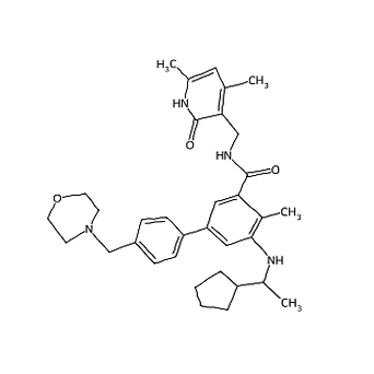 Cc1cc(C)c(CNC(=O)c2cc(-c3ccc(CN4CCOCC4)cc3)cc(NC(C)C3CCCC3)c2C)c(=O)[nH]1